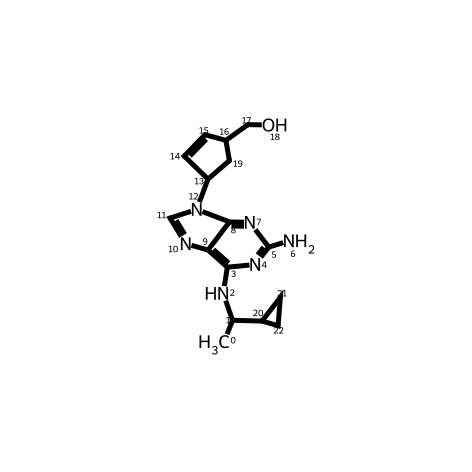 CC(Nc1nc(N)nc2c1ncn2C1C=CC(CO)C1)C1CC1